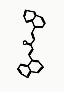 O=C(C=Cc1cccc2ccccc12)C=Cc1cccc2ccccc12